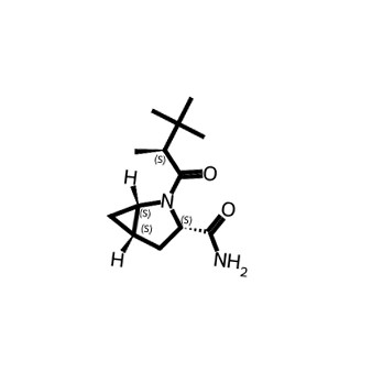 C[C@H](C(=O)N1[C@H](C(N)=O)C[C@@H]2C[C@@H]21)C(C)(C)C